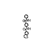 O=C(Nc1ccc([S+]([O-])Nc2ccccc2)cc1)c1ccc2c(c1)CCCS2